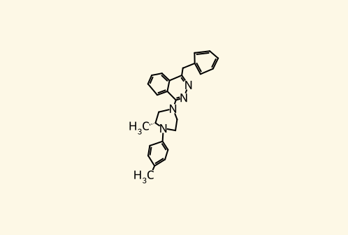 Cc1ccc(N2CCN(c3nnc(Cc4ccccc4)c4ccccc34)C[C@H]2C)cc1